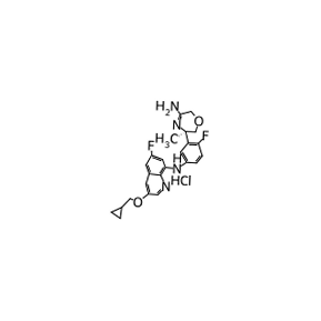 C[C@@]1(c2cc(Nc3cc(F)cc4cc(OCC5CC5)cnc34)ccc2F)COCC(N)=N1.Cl